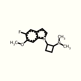 COc1cc2c(ccn2C2CCC2N(C)C)cc1F